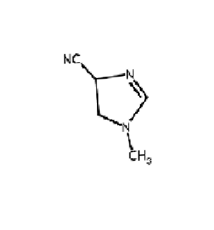 CN1C=NC(C#N)C1